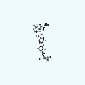 C[C@@H]1OCC2(CCN(c3cnc(Sc4ccnc(N5CC(C(C)(C)O)C5)c4Cl)cn3)CC2)[C@@H]1NC(=O)OC(C)(C)C